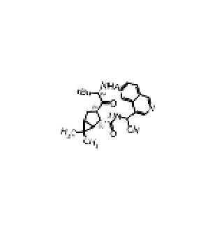 CC(=O)N[C@H](C(=O)[C@@H]1CC2C([C@H]1C(=O)NC(C#N)c1cncc3ccccc13)C2(C)C)C(C)(C)C